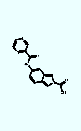 O=C(Nc1ccc2cn(C(=O)O)cc2c1)c1cnccn1